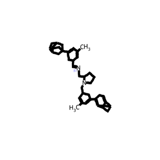 CC1=CC(/C=N/CC2CCCN2CC2C=C(C)C=C(C3=C4C5CC4C5=CC3)C2)CC(C23CC4CC(C2)C(C4)C3)=C1